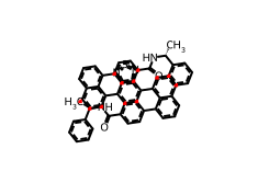 C[C@@H](NC(=O)c1ccc(-c2cccc3cccc(-c4ccc(-c5cccc6cccc(-c7ccc(C(=O)N[C@H](C)c8ccccc8)cc7)c56)c5nsnc45)c23)cc1)c1ccccc1